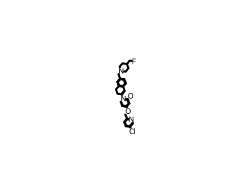 O=c1cc(OCc2ccc(Cl)cn2)ccn1C1=Cc2ccc(CN3CCC(CF)CC3)cc2CC1